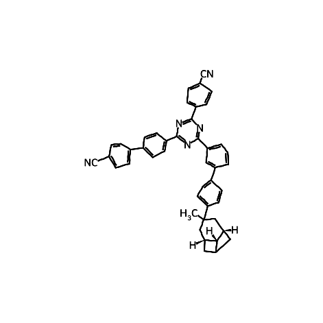 CC1(c2ccc(-c3cccc(-c4nc(-c5ccc(C#N)cc5)nc(-c5ccc(-c6ccc(C#N)cc6)cc5)n4)c3)cc2)C[C@H]2CC3C[C@@H](C1)[C@H]32